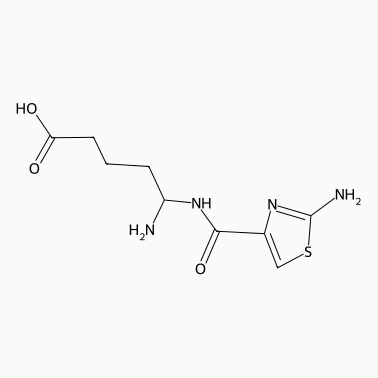 Nc1nc(C(=O)NC(N)CCCC(=O)O)cs1